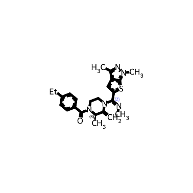 C=C1[C@@H](C)N(C(=O)c2ccc(CC)cc2)CCN1/C(=N\C)c1cc2c(C)nn(C)c2s1